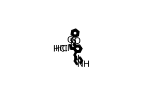 Cl.Cl.O=S(=O)(c1ccccc1)n1ccc2c(CN3CCNCC3)cccc21